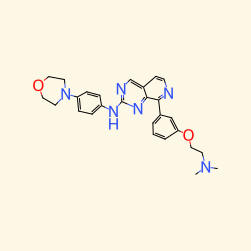 CN(C)CCOc1cccc(-c2nccc3cnc(Nc4ccc(N5CCOCC5)cc4)nc23)c1